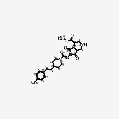 CC(C)(C)OC(=O)C1CNCC2C(=O)N(OC(=O)N3CCC(CCc4ccc(Cl)cc4)CC3)C(=O)N12